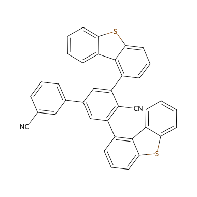 N#Cc1cccc(-c2cc(-c3cccc4sc5ccccc5c34)c(C#N)c(-c3cccc4sc5ccccc5c34)c2)c1